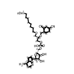 CCCCCCCCCCCCCCCCCCOC[C@H](COP(=O)(O)OC[C@H]1O[C@@](C)(c2ccc3c(N)ncnn23)[C@H](O)[C@@H]1O)OCc1ccc(C#N)cc1Cl